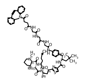 C#CCCCON(C(=O)[C@@H](NC(=O)[C@H]1CCCCN1C)[C@@H](C)CC)[C@H](C[C@@H](OC(C)=O)c1nc(C(=O)N[C@@H](Cc2ccc(NC(=O)CNC(=O)CNC(=O)CNC(=O)CCC(=O)N3Cc4ccccc4C#Cc4ccccc43)cc2)CC(C)(C)C(=O)O)cs1)C(C)C